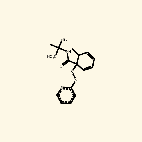 CCCCC(C)(NC(=O)C1(SSc2ccccn2)C=CC=CC1C)C(=O)O